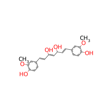 COc1cc(/C=C/C(O)=C/C(O)/C=C/c2ccc(O)c(OC)c2)ccc1O